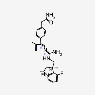 C=C(C)/C(=C\N=C(/N)NC[C@@](C)(C[C@@H](C)F)c1ncccc1F)c1ccc(CC(N)=O)cc1